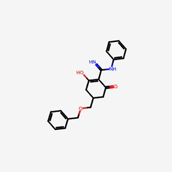 N=C(Nc1ccccc1)C1=C(O)CC(COCc2ccccc2)CC1=O